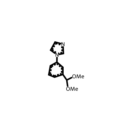 COC(OC)c1cccc(-n2ccnc2)c1